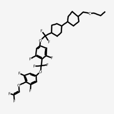 CCCCCC1CCC(C2CCC(C(F)(F)Oc3cc(F)c(C(F)(F)Oc4cc(F)c(OC=C(F)F)c(F)c4)c(F)c3)CC2)CC1